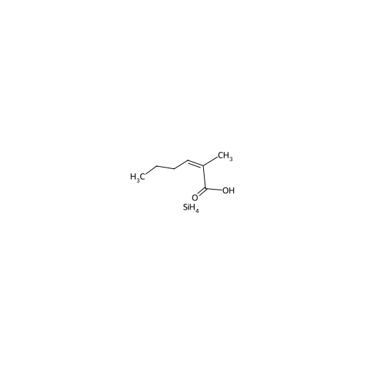 CCCC=C(C)C(=O)O.[SiH4]